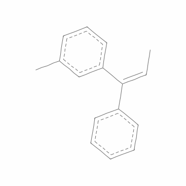 CC=C(c1ccccc1)c1cccc(C)c1